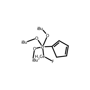 CCC(C)[O][Zr]([O]C(C)CC)([O]C(C)CC)([GeH2][F])[C]1=CC=CC1